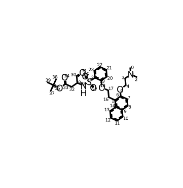 CN(C)CCOc1ccc2ccccc2c1CCOc1ccccc1S(=O)(=O)NC(C=O)CC(=O)OC(C)(C)C